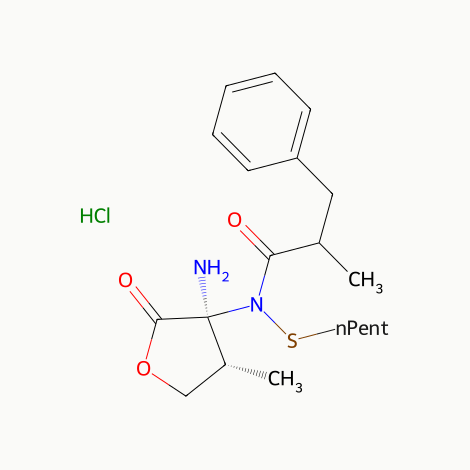 CCCCCSN(C(=O)C(C)Cc1ccccc1)[C@]1(N)C(=O)OC[C@H]1C.Cl